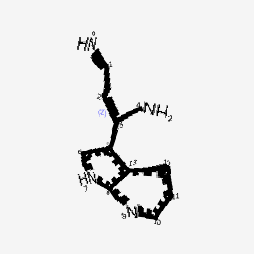 N=C/C=C(\N)c1c[nH]c2ncccc12